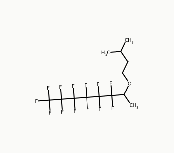 CC(C)CCOC(C)C(F)(F)C(F)(F)C(F)(F)C(F)(F)C(F)(F)C(F)(F)F